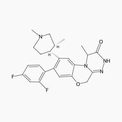 CC1C(=O)NN=C2COc3cc(-c4ccc(F)cc4F)c([C@@H]4CCN(C)C[C@@H]4C)cc3N21